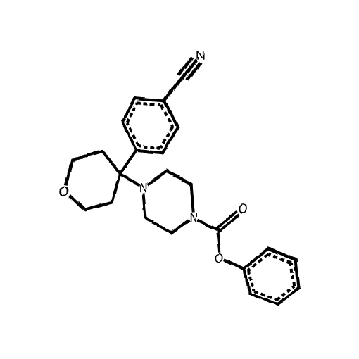 N#Cc1ccc(C2(N3CCN(C(=O)Oc4ccccc4)CC3)CCOCC2)cc1